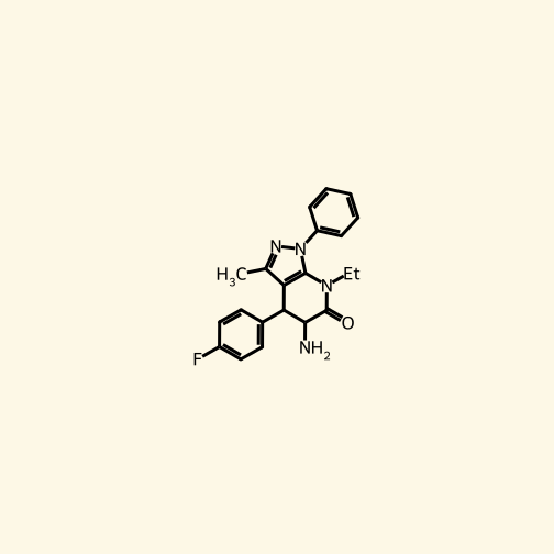 CCN1C(=O)C(N)C(c2ccc(F)cc2)c2c(C)nn(-c3ccccc3)c21